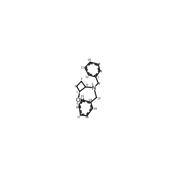 O[C@H]1CCC1N(Cc1ccccc1)Cc1ccccc1